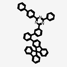 c1ccc(-c2ccc(-c3nc(-c4ccccc4)nc(-c4cccc(-c5ccccc5-c5ccc6c(c5)C5(c7ccccc7-c7ccccc75)c5ccccc5-6)c4)n3)cc2)cc1